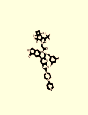 O=C(Cn1nc(C(F)(F)F)c2c1C(F)(F)[C@@H]1CC[C@H]21)N[C@H](Cc1cc(F)cc(F)c1)c1nc2nc(N3CCN(c4ccncc4)CC3)sc2cc1-c1ccc2c(c1)C(=O)NC2